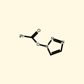 CC(C)C(=O)On1ccnn1